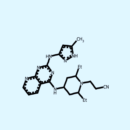 CCC1CC(Nc2nc(Nc3cc(C)[nH]n3)nc3ncccc23)CC(CC)N1CCC#N